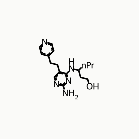 CCCC(CCO)Nc1nc(N)ncc1CCc1ccncc1